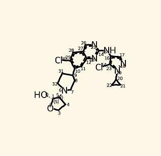 O[C@H]1OCC[C@H]1N1CCC(c2cc3nc(Nc4cnn(C5CC5)c4Cl)ncc3cc2Cl)CC1